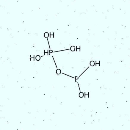 OP(O)O[PH](O)(O)O